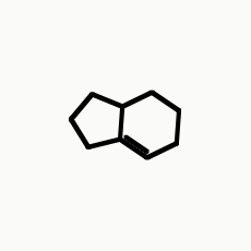 C1=C2CCCC2CCC1